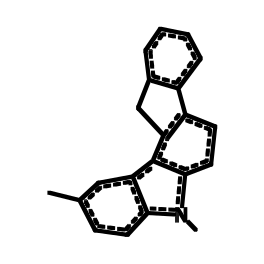 Cc1ccc2c(c1)c1c3c(ccc1n2C)-c1ccccc1C3